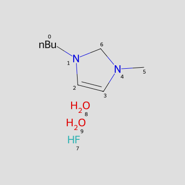 CCCCN1C=CN(C)C1.F.O.O